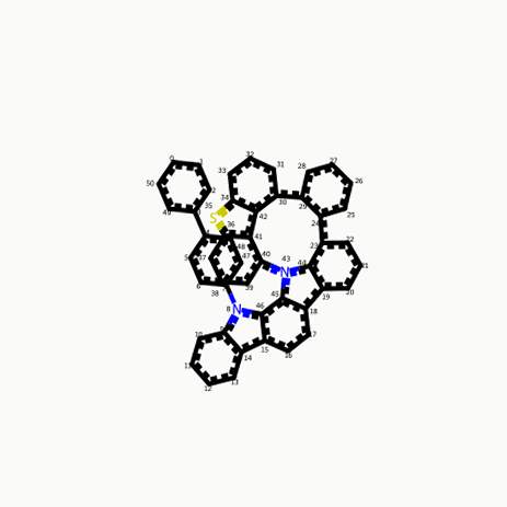 c1ccc(-c2ccc(-n3c4ccccc4c4ccc5c6cccc7c8ccccc8c8cccc9sc%10cccc(c%10c98)n(c76)c5c43)cc2)cc1